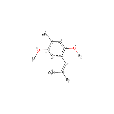 CCCc1cc(OCC)c(C=C(CC)[N+](=O)[O-])cc1OCC